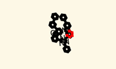 c1ccc(-c2cccc(-c3cc(-n4c5ccccc5c5ccc(-c6ccccc6)cc54)cc4c3oc3cccc(-c5nc(-c6ccccc6)nc(-c6ccccc6)n5)c34)c2)cc1